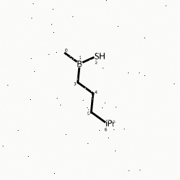 CB(S)CCCC(C)C